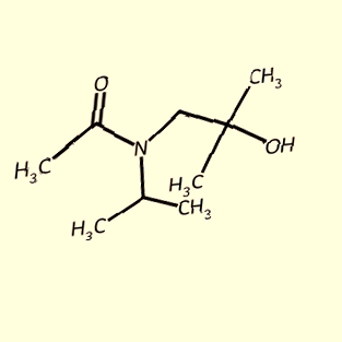 CC(=O)N(CC(C)(C)O)C(C)C